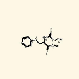 COC(=O)C(COc1ccccc1)NC(=O)OC(C)(C)C